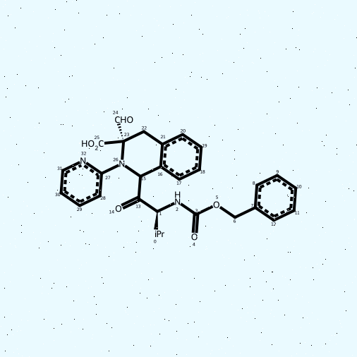 CC(C)[C@H](NC(=O)OCc1ccccc1)C(=O)C1c2ccccc2C[C@](C=O)(C(=O)O)N1c1ccccn1